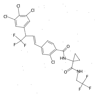 O=C(NC1(C(=O)NCC(F)(F)F)CC1)c1ccc(C=CC(c2cc(Cl)c(Cl)c(Cl)c2)C(F)(F)F)cc1Cl